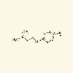 CN(C)CCSc1ccc(Br)cc1